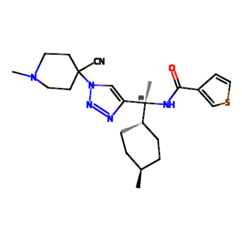 CN1CCC(C#N)(n2cc([C@@](C)(NC(=O)c3ccsc3)[C@H]3CC[C@H](C)CC3)nn2)CC1